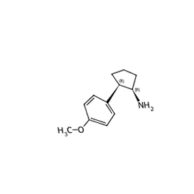 COc1ccc([C@H]2CCC[C@H]2N)cc1